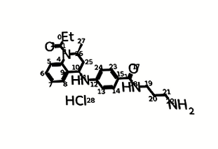 CCC(=O)N1c2ccccc2[C@H](Nc2ccc(C(=O)NCCCN)cc2)C[C@@H]1C.Cl